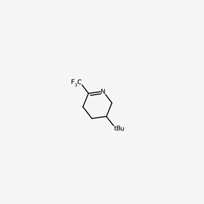 CC(C)(C)C1CCC(C(F)(F)F)=NC1